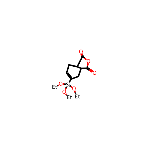 CCO[Si](OCC)(OCC)C1=CCC2C(=O)OC(=O)C2C1